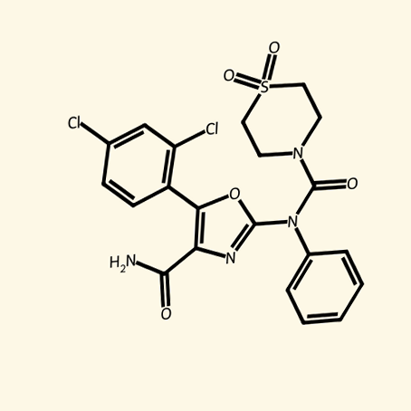 NC(=O)c1nc(N(C(=O)N2CCS(=O)(=O)CC2)c2ccccc2)oc1-c1ccc(Cl)cc1Cl